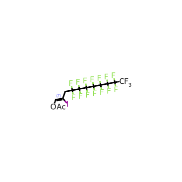 CC(=O)O/C=C(\I)CC(F)(F)C(F)(F)C(F)(F)C(F)(F)C(F)(F)C(F)(F)C(F)(F)C(F)(F)F